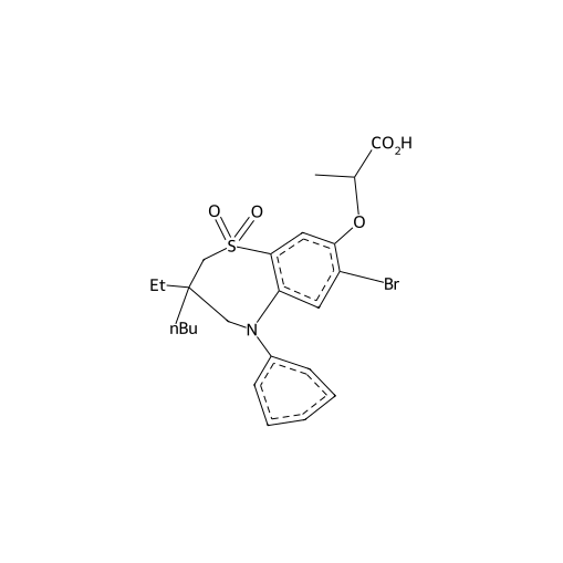 CCCCC1(CC)CN(c2ccccc2)c2cc(Br)c(OC(C)C(=O)O)cc2S(=O)(=O)C1